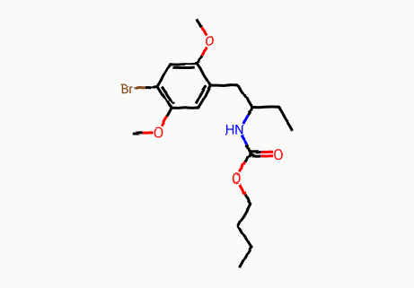 CCCCOC(=O)NC(CC)Cc1cc(OC)c(Br)cc1OC